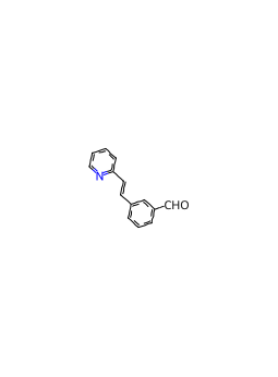 O=Cc1cccc(C=Cc2ccccn2)c1